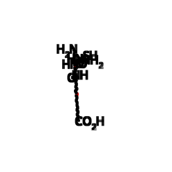 NCCCCC(NCCCCNC(=O)CCCCCCCCCCCCCCCCCCC(=O)O)C(=O)NC(CS)C(N)=O